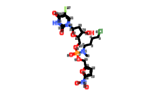 CN(CCCCCl)P(=O)(OCc1ccc([N+](=O)[O-])o1)OCC1OC(n2cc(F)c(=O)[nH]c2=O)CC1O